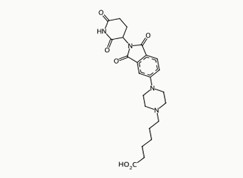 O=C(O)CCCCCN1CCN(c2ccc3c(c2)C(=O)N(C2CCC(=O)NC2=O)C3=O)CC1